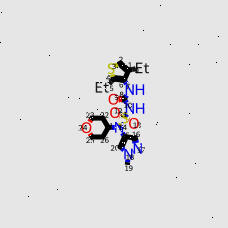 CCc1csc(CC)c1NC(=O)NS(=O)(=O)N(c1cnn(C)c1)C1CCOCC1